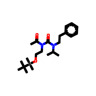 CC(=O)N(CCO[Si](C)(C)C(C)(C)C)C(=O)N(CCc1ccccc1)C(C)C